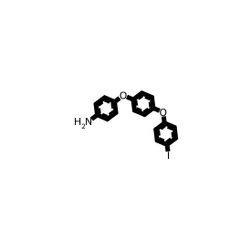 Nc1ccc(Oc2ccc(Oc3ccc(I)cc3)cc2)cc1